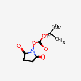 CCCC[C@@H](C)OC(=O)ON1C(=O)CCC1=O